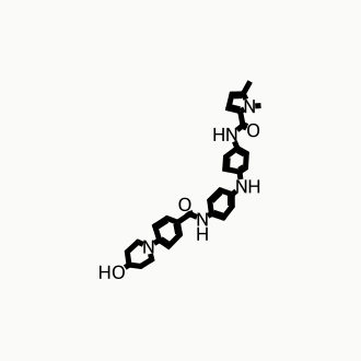 Cc1ccc(C(=O)Nc2ccc(Nc3ccc(NC(=O)c4ccc(N5CCC(O)CC5)cc4)cc3)cc2)n1C